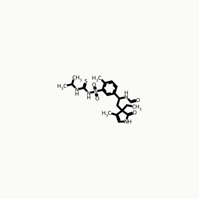 CCC1(CC(NC=O)c2ccc(C)c(S(=O)(=O)NC(=S)NC(C)C)c2)C(=O)NC=C1C